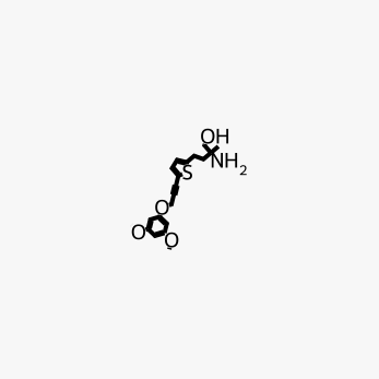 COc1cc(OC)cc(OCC#Cc2ccc(CCC(C)(N)CO)s2)c1